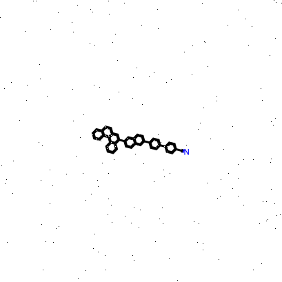 N#Cc1ccc(-c2ccc(-c3ccc4cc(-c5cc6ccc7ccccc7c6c6ccccc56)ccc4c3)cc2)cc1